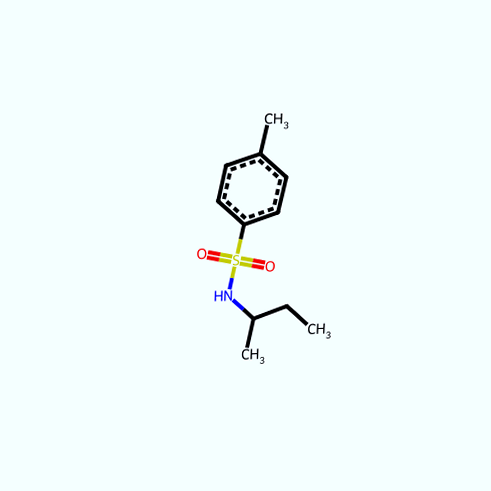 CCC(C)NS(=O)(=O)c1ccc(C)cc1